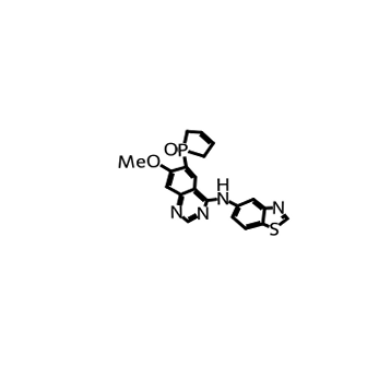 COc1cc2ncnc(Nc3ccc4scnc4c3)c2cc1P1(=O)CC=CC1